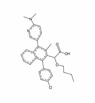 CCCCOC(C(=O)O)c1c(C)c(-c2ccc(N(C)C)nc2)c2ccccc2c1-c1ccc(Cl)cc1